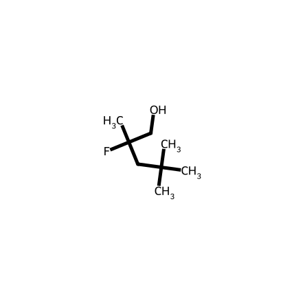 CC(C)(C)CC(C)(F)CO